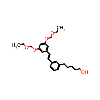 CCOCOc1cc(/C=C/c2cccc(CCCCCO)c2)cc(OCOCC)c1